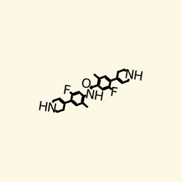 Cc1cc(C2=CCNCC2)c(F)cc1NC(=O)c1cc(F)c(C2=CCNCC2)cc1C